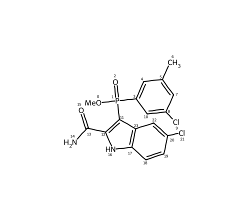 COP(=O)(c1cc(C)cc(Cl)c1)c1c(C(N)=O)[nH]c2ccc(Cl)cc12